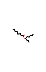 CCCCCCCC(=O)OC(CCC)CCCCC